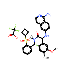 CCOc1cc(C(Nc2ccc3c(N)nccc3c2)C(=O)N(C)Cc2ccccc2S(=O)(=O)C2CCC2)c(F)cc1OC.O=C(O)C(F)(F)F